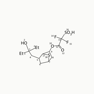 CCC(O)(CC)CC1CC2CC(OC(=O)C(F)(F)S(=O)(=O)O)C1S2